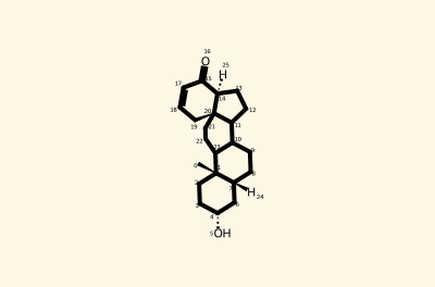 C[C@]12CC[C@@H](O)C[C@H]1CCC1C3CC[C@@H]4C(=O)C=CC[C@]34CCC12